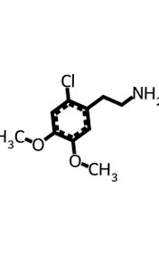 COc1cc(Cl)c(CCN)cc1OC